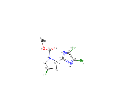 CC(C)(C)OC(=O)N1C[C@H](F)C[C@H]1c1nc(Br)c(Br)[nH]1